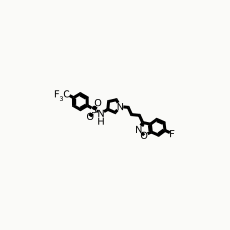 O=S(=O)(NC1CCN(CCCc2noc3cc(F)ccc23)C1)c1ccc(C(F)(F)F)cc1